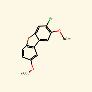 CCCCCCCCOc1ccc2sc3cc(Br)c(OCCCCCCCC)cc3c2c1